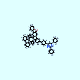 c1ccc(-c2cc(-c3ccc(-c4ccc5c(c4)-c4cc6oc7ccccc7c6cc4C54c5ccccc5C5(c6ccccc6-c6ccccc65)c5ccccc54)cc3)nc(-c3ccccc3)n2)cc1